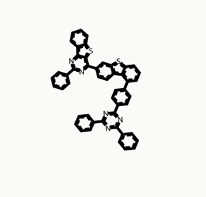 c1ccc(-c2nc(-c3ccccc3)nc(-c3ccc(-c4cccc5sc6cc(-c7nc(-c8ccccc8)nc8c7sc7ccccc78)ccc6c45)cc3)n2)cc1